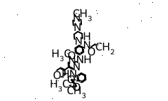 C=CC(=O)Nc1cc(Nc2ncc(C3=CCOCC3)c(Nc3ccccc3S(=O)(=O)C(C)C)n2)c(OC)cc1N1CCC(N2CCN(C)CC2)CC1